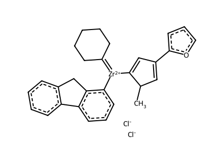 CC1C=C(c2ccco2)C=[C]1[Zr+2](=[C]1CCCCC1)[c]1cccc2c1Cc1ccccc1-2.[Cl-].[Cl-]